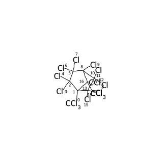 ClC(Cl)(Cl)C12C(Cl)(Cl)C(Cl)(Cl)C(Cl)(C(Cl)(Cl)C1(Cl)Cl)C2(C(Cl)(Cl)Cl)C(Cl)(Cl)Cl